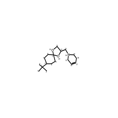 CC(C)(C)C1CCC2(CC1)OCC(CN1CC=CCC1)O2